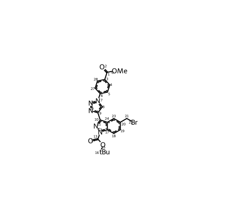 COC(=O)c1ccc(-n2cc(-c3nn(C(=O)OC(C)(C)C)c4ccc(CBr)cc34)nn2)cc1